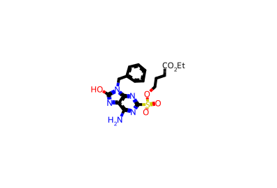 CCOC(=O)CCCOS(=O)(=O)c1nc(N)c2nc(O)n(Cc3ccccc3)c2n1